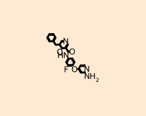 Nc1cc(Oc2ccc(NC(=O)C3=CN=CC(Cc4ccccc4)C3=O)cc2F)ccn1